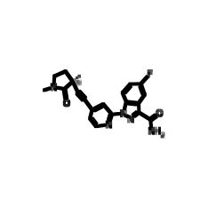 CN1CC[C@@](C)(C#Cc2ccnc(-n3nc(C(N)=O)c4cc(F)ccc43)c2)C1=O